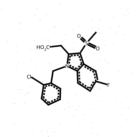 CS(=O)(=O)c1c(CC(=O)O)n(Cc2ccccc2Cl)c2ccc(F)cc12